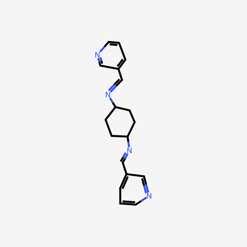 C(=N\C1CCC(/N=C/c2cccnc2)CC1)/c1cccnc1